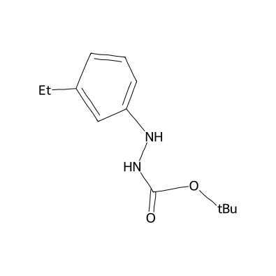 CCc1cccc(NNC(=O)OC(C)(C)C)c1